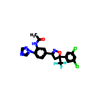 CC(=O)Nc1cc(C2=NOC(c3cc(Cl)cc(Cl)c3)(C(F)(F)F)C2)ccc1-n1cncn1